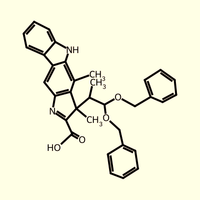 Cc1c2c(cc3c1[nH]c1ccccc13)N=C(C(=O)O)C2(C)C(C)C(OCc1ccccc1)OCc1ccccc1